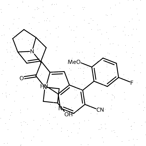 COc1ccc(F)cc1-c1c(C#N)cnc2[nH]c(C3=CC4CCC(C3)N4CC(=O)N3CC(O)C3)cc12